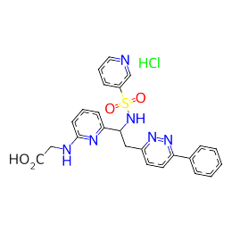 Cl.O=C(O)CNc1cccc(C(Cc2ccc(-c3ccccc3)nn2)NS(=O)(=O)c2cccnc2)n1